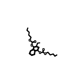 CCCCCOC(=O)Oc1cc(CC)c(OC(=O)OCCCCC)c2ccccc12